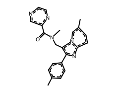 Cc1ccc(-c2nc3ccc(C)cn3c2CN(C)C(=O)c2cnccn2)cc1